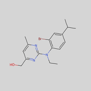 CCN(c1nc(C)cc(CO)n1)c1ccc(C(C)C)cc1Br